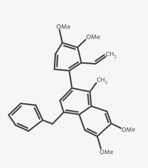 C=Cc1c(-c2cc(Cc3ccccc3)c3cc(OC)c(OC)cc3c2C)ccc(OC)c1OC